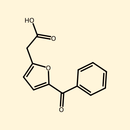 O=C(O)Cc1ccc(C(=O)c2ccccc2)o1